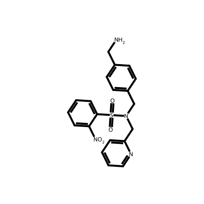 NCc1ccc(CN(Cc2ccccn2)S(=O)(=O)c2ccccc2[N+](=O)[O-])cc1